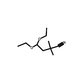 CCOC(CC(C)(C)C#N)OCC